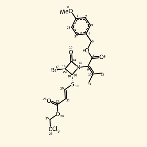 COc1ccc(COC(=O)C(=C(C)C)N2C(=O)[C@H](Br)[C@H]2SC=CC(=O)OCC(Cl)(Cl)Cl)cc1